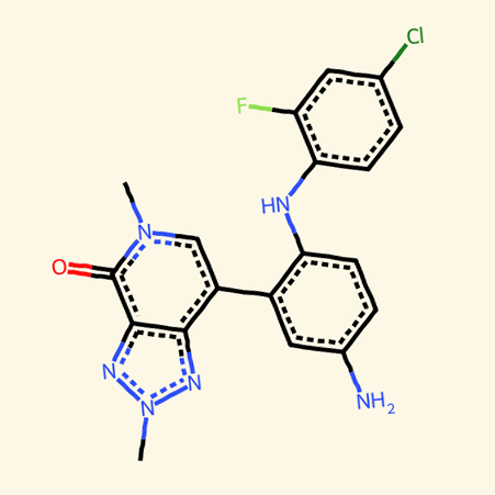 Cn1nc2c(-c3cc(N)ccc3Nc3ccc(Cl)cc3F)cn(C)c(=O)c2n1